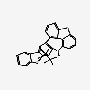 CC1(C)OB(c2cccc3oc4cccc(-c5ccc6oc7ccccc7c6c5)c4c23)OC1(C)C